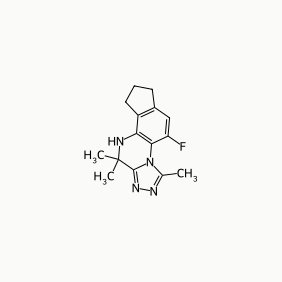 Cc1nnc2n1-c1c(F)cc3c(c1NC2(C)C)CCC3